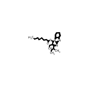 CCCCCCCC(=O)Oc1c(CC)c(C(C)CC)nc2nc3ccccc3n12